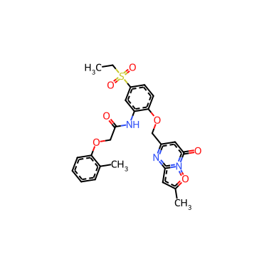 CCS(=O)(=O)c1ccc(OCc2cc(=O)n3oc(C)cc3n2)c(NC(=O)COc2ccccc2C)c1